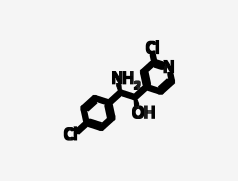 N[C@H](c1ccc(Cl)cc1)[C@H](O)c1ccnc(Cl)c1